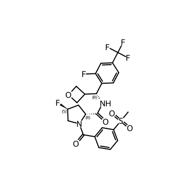 CS(=O)(=O)c1cccc(C(=O)N2C[C@@H](F)C[C@@H]2C(=O)N[C@@H](c2ccc(C(F)(F)F)cc2F)C2COC2)c1